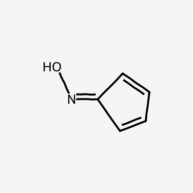 ON=C1C=CC=C1